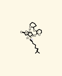 CC(C)=CCCC/C=C/[C@@H]1[C@H]2CC(=O)O[C@H]2C[C@H]1OC1OCCC[C@@H]1OC1CCCCO1